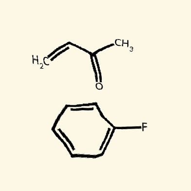 C=CC(C)=O.Fc1ccccc1